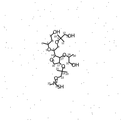 CC(CCO)OC(COC(C)(C)CO)C1OCC(OC(C)(C)CON(C)S)C1OC(C)CO